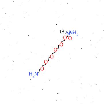 CC(C)(C)N(N)C(=O)OCCOCCOCCOCCOCCOCCN